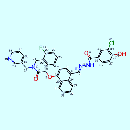 O=C(N/N=C/c1ccc(OCC(=O)N(Cc2cccnc2)Cc2ccccc2F)c2ccccc12)c1ccc(O)c(Cl)c1